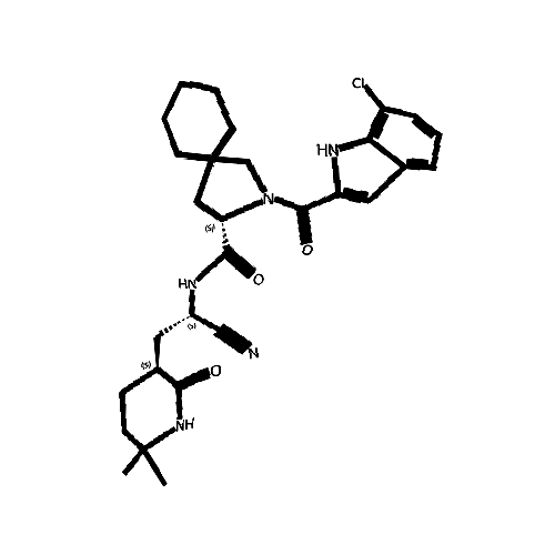 CC1(C)CC[C@@H](C[C@@H](C#N)NC(=O)[C@@H]2CC3(CCCCC3)CN2C(=O)c2cc3cccc(Cl)c3[nH]2)C(=O)N1